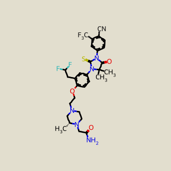 C[C@@H]1CN(CCOc2ccc(N3C(=S)N(c4ccc(C#N)c(C(F)(F)F)c4)C(=O)C3(C)C)cc2CC(F)F)CCN1CC(N)=O